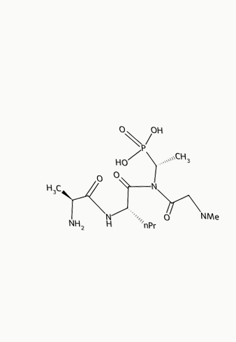 CCC[C@H](NC(=O)[C@H](C)N)C(=O)N(C(=O)CNC)[C@@H](C)P(=O)(O)O